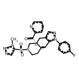 Cn1nncc1S(=O)(=O)N1CCC2=Cc3c(cnn3-c3ccc(F)cc3)C[C@]2(C(=O)c2ccccn2)C1